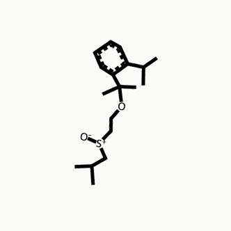 CC(C)C[S+]([O-])CCOC(C)(C)c1ccccc1C(C)C